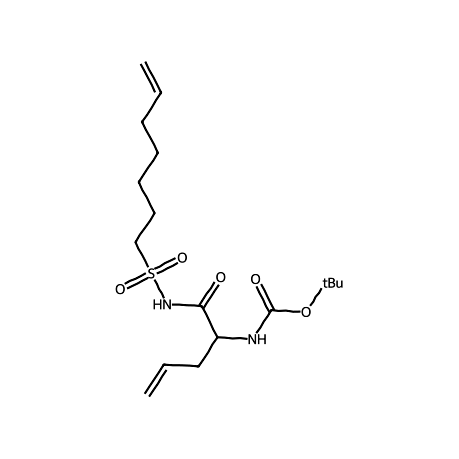 C=CCCCCCS(=O)(=O)NC(=O)C(CC=C)NC(=O)OC(C)(C)C